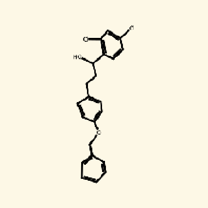 OC(CCc1ccc(OCc2ccccc2)cc1)c1ccc(Cl)cc1Cl